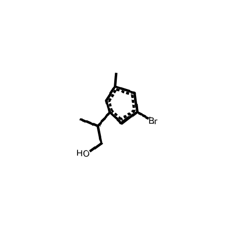 C[C](CO)c1cc(C)cc(Br)c1